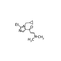 CCc1ncc(C(=O)C=CN(C)C)n1CC1CC1